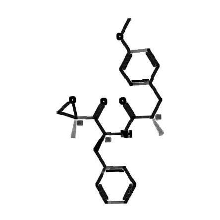 COc1ccc(C[C@H](C)C(=O)N[C@@H](Cc2ccccc2)C(=O)[C@@]2(C)CO2)cc1